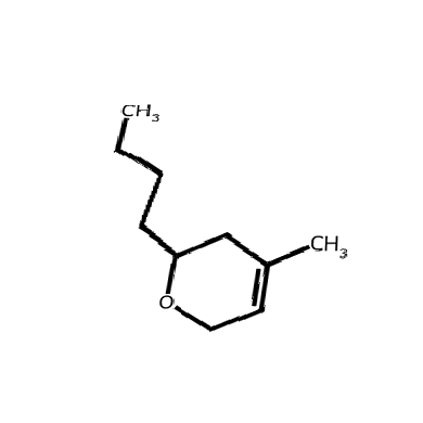 CCCCC1CC(C)=CCO1